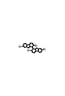 Brc1ccc2c(c1)C=c1c-2ccc(Br)c1=c1c(Br)ccc2c1=Cc1cc(Br)ccc1-2